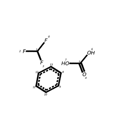 FC(F)F.O=C(O)O.c1ccccc1